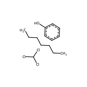 CCCCCCC.ClC(Cl)Cl.Oc1ccccc1